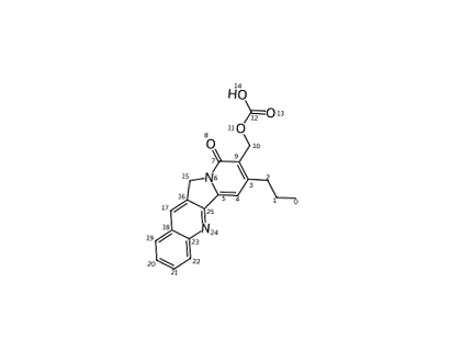 CCCc1cc2n(c(=O)c1COC(=O)O)Cc1cc3ccccc3nc1-2